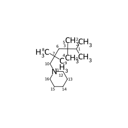 CC(C)C(C)(C)CC(C)(C)CN1CCCCC1